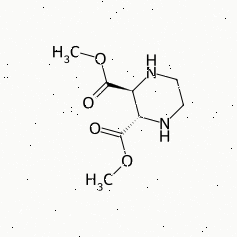 COC(=O)[C@H]1NCCN[C@@H]1C(=O)OC